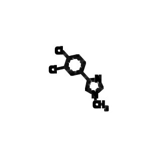 Cn1cnc(-c2ccc(Cl)c(Cl)c2)c1